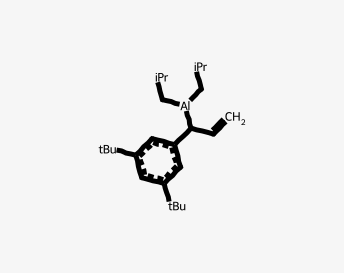 C=C[CH](c1cc(C(C)(C)C)cc(C(C)(C)C)c1)[Al]([CH2]C(C)C)[CH2]C(C)C